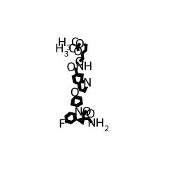 CC1(C)OCCC(CONC(=O)c2ccc3c(Oc4ccc(N(C(=O)C5(C(N)=O)CC5)c5ccc(F)cc5)cc4)ccnc3c2)O1